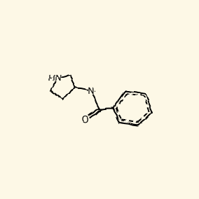 O=C([N]C1CCNC1)c1ccccc1